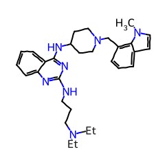 CCN(CC)CCCNc1nc(NC2CCN(Cc3cccc4ccn(C)c34)CC2)c2ccccc2n1